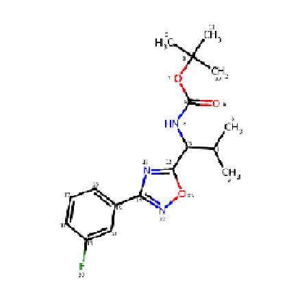 CC(C)C(NC(=O)OC(C)(C)C)c1nc(-c2cccc(F)c2)no1